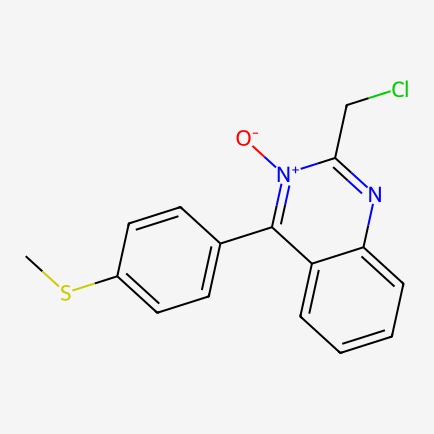 CSc1ccc(-c2c3ccccc3nc(CCl)[n+]2[O-])cc1